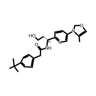 CC1=COCN1c1ccc([C@@H](CCO)NC(=O)Cc2ccc(C(C)(C)C)cc2)nc1